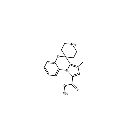 Cc1cc(C(=O)OC(C)(C)C)n2c1C1(CCNCC1)Oc1ccccc1-2